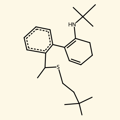 CC(SCCC(C)(C)C)c1ccccc1C1=C(NC(C)(C)C)CCC=C1